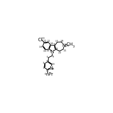 CCCc1ccc(CCn2c3c(c4cc(Cl)ccc42)CCN(C)CC3)cn1